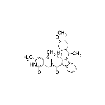 COC1CCC([C@@H](C)n2c(C)c(C(=O)NCc3c(SC)cc(C)[nH]c3=O)c3ccccc32)CC1